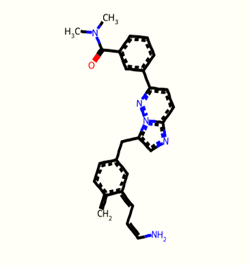 C=c1ccc(Cc2cnc3ccc(-c4cccc(C(=O)N(C)C)c4)nn23)c/c1=C/C=C\N